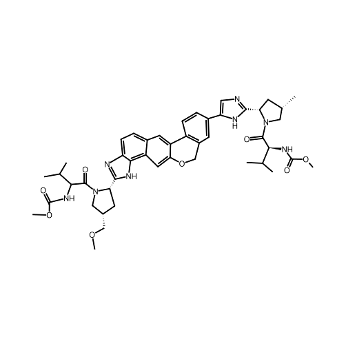 COC[C@H]1C[C@@H](c2nc3ccc4cc5c(cc4c3[nH]2)OCc2cc(-c3cnc([C@@H]4C[C@H](C)CN4C(=O)[C@@H](NC(=O)OC)C(C)C)[nH]3)ccc2-5)N(C(=O)C(NC(=O)OC)C(C)C)C1